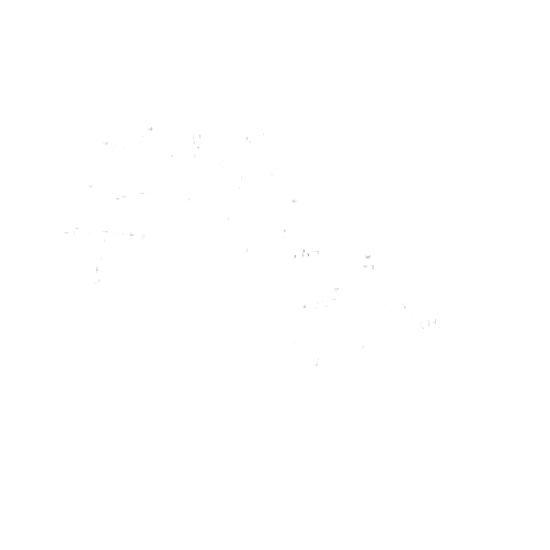 COc1cccc(CNc2ccc(S(=O)(=O)Nc3cccc(C(F)(F)F)c3)cc2)c1O